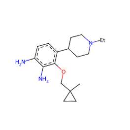 CCN1CCC(c2ccc(N)c(N)c2OCC2(C)CC2)CC1